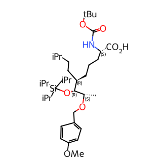 COc1ccc(CO[C@@H](C)[C@H](O[Si](C(C)C)(C(C)C)C(C)C)[C@H](CCC[C@H](NC(=O)OC(C)(C)C)C(=O)O)CCC(C)C)cc1